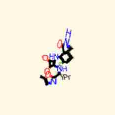 Cc1cnc([C@H](Nc2c(Nc3c(F)ccc4c3C(=O)NC4)c(=O)c2=O)C(C)C)o1